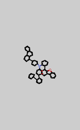 c1ccc(-c2ccccc2-c2ccc(N(c3ccc(-c4cccc5c4ccc4ccccc45)cc3)c3ccccc3-c3cccc4c3oc3ccccc34)cc2)cc1